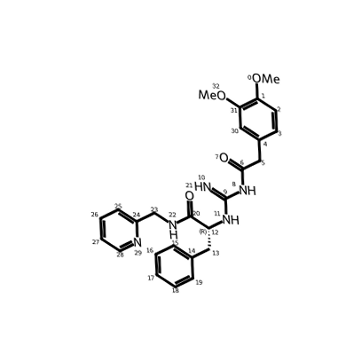 COc1ccc(CC(=O)NC(=N)N[C@H](Cc2ccccc2)C(=O)NCc2ccccn2)cc1OC